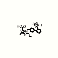 CCSc1nc2c(C)sc(C(=O)O)c2n1Cc1ccc(-c2ccccc2-c2nc(=O)s[nH]2)cc1